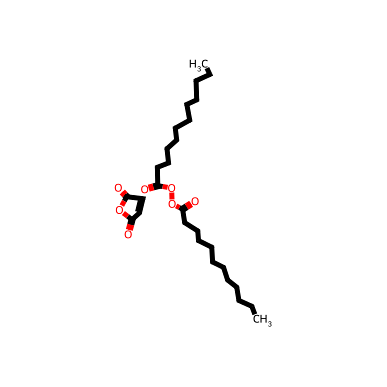 CCCCCCCCCCCC(=O)OOC(=O)CCCCCCCCCCC.O=C1C=CC(=O)O1